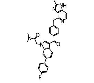 Cc1nc2c(Cc3ccc(C(=O)c4cn(CC(=O)N(C)C)c5cc(-c6ccc(F)cc6)ccc45)cc3)nccc2[nH]1